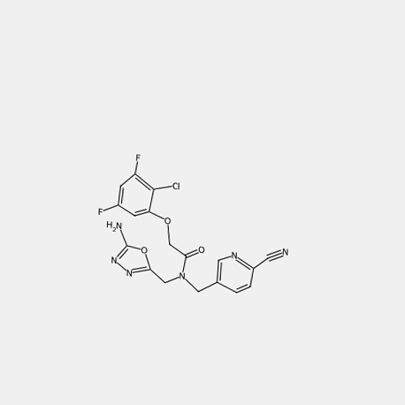 N#Cc1ccc(CN(Cc2nnc(N)o2)C(=O)COc2cc(F)cc(F)c2Cl)cn1